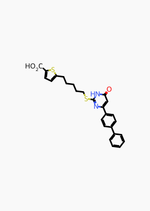 O=C(O)c1ccc(CCCCCSc2nc(-c3ccc(-c4ccccc4)cc3)cc(=O)[nH]2)s1